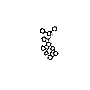 C1=CCCC(c2cc(-c3ccccc3)cc(/C=C3\c4ccccc4-c4c3ccc3c4-c4ccccc4C34C3=C(C=CCC=C3)C3(C5=C4CC=CC=C5)c4ccccc4-c4ccccc43)n2)=C1